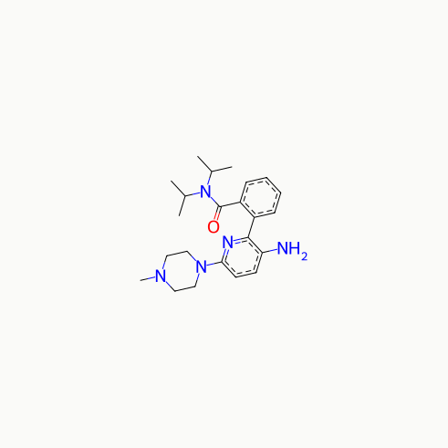 CC(C)N(C(=O)c1ccccc1-c1nc(N2CCN(C)CC2)ccc1N)C(C)C